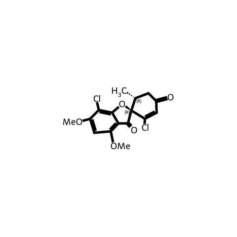 COc1cc(OC)c2c(c1Cl)O[C@]1(C2=O)C(Cl)=CC(=O)C[C@H]1C